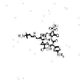 CC(C)(N)CCNCc1cnn(C[C@@H]2[C@H](NC(=O)C(=NOC3(C(=O)O)CC3)c3csc(N)n3)C(=O)N2S(=O)(=O)O)n1